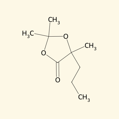 CCCC1(C)OC(C)(C)OC1=O